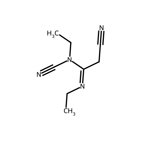 CCN=C(CC#N)N(C#N)CC